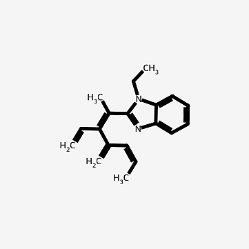 C=C/C(C(=C)/C=C\C)=C(\C)c1nc2ccccc2n1CC